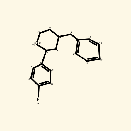 Fc1ccc(C2CC(Cc3ccccc3)CCN2)cc1